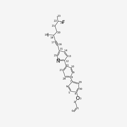 C=CCOc1ccc(-c2ccc(-c3ccc(C#CC(I)CCC(C)F)cn3)cc2)cc1